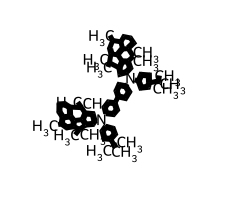 Cc1cc2c3c4c(cccc14)C(C)(C)c1cc(N(c4ccc(-c5ccc(N(c6ccc(C(C)(C)C)cc6)c6cc7c8c(c6)C(C)(C)C6=CCCC9C6=C8C(=CC9C)C7(C)C)cc5)cc4)c4ccc(C(C)(C)C)cc4)cc(c1-3)C2(C)C